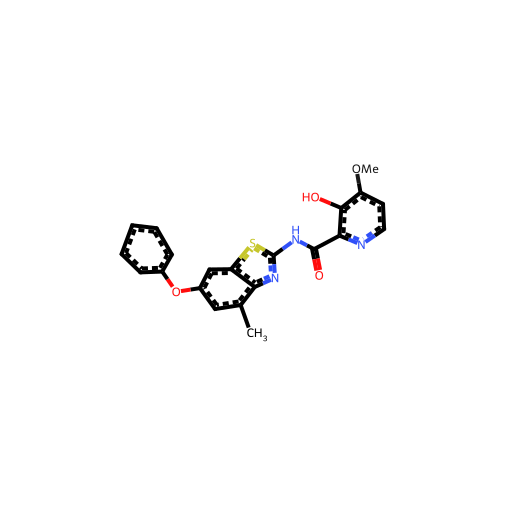 COc1ccnc(C(=O)Nc2nc3c(C)cc(Oc4ccccc4)cc3s2)c1O